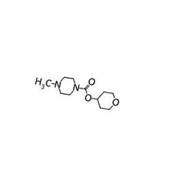 CN1CCN(C(=O)OC2CCOCC2)CC1